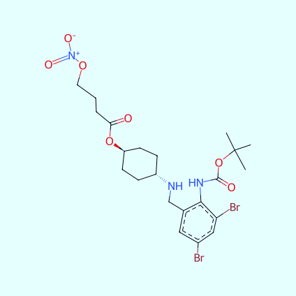 CC(C)(C)OC(=O)Nc1c(Br)cc(Br)cc1CN[C@H]1CC[C@H](OC(=O)CCCO[N+](=O)[O-])CC1